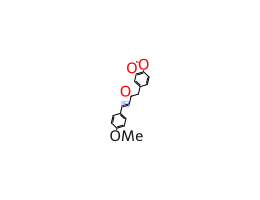 COc1ccc(/C=C/C(=O)Cc2ccc3c(c2)OCO3)cc1